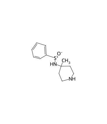 CC1(N[S+]([O-])c2ccccc2)CCNCC1